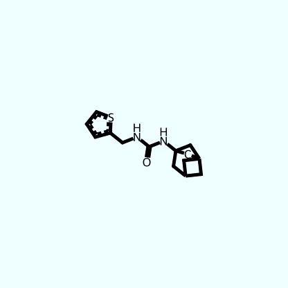 O=C(NCc1cccs1)NC12CC3CC(C3)(C1)C2